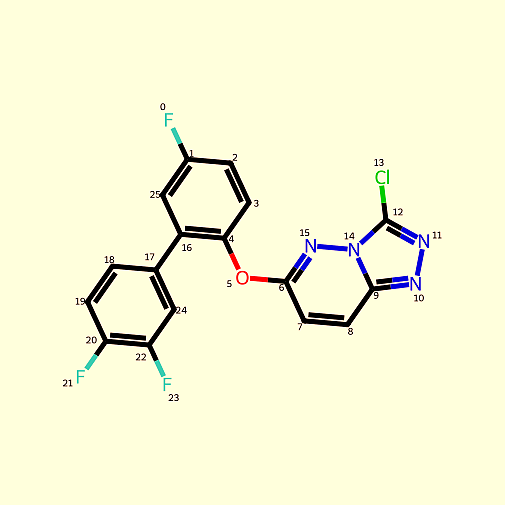 Fc1ccc(Oc2ccc3nnc(Cl)n3n2)c(-c2ccc(F)c(F)c2)c1